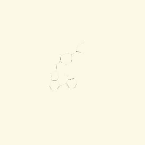 CC(C)(C)OC(=O)N1CCN(CC2Cc3cccc(-c4ccccc4Cl)c3O2)CC1